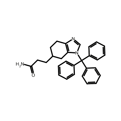 NC(=O)CCC1CCc2ncn(C(c3ccccc3)(c3ccccc3)c3ccccc3)c2C1